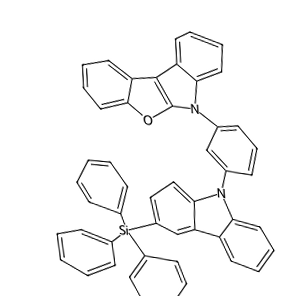 c1ccc([Si](c2ccccc2)(c2ccccc2)c2ccc3c(c2)c2ccccc2n3-c2cccc(-n3c4ccccc4c4c5ccccc5oc43)c2)cc1